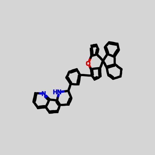 C1=CC2=C(CC1)c1ccccc1C21c2ccccc2Oc2c(-c3cccc(C4C=Cc5ccc6cccnc6c5N4)c3)cccc21